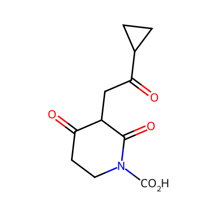 O=C(CC1C(=O)CCN(C(=O)O)C1=O)C1CC1